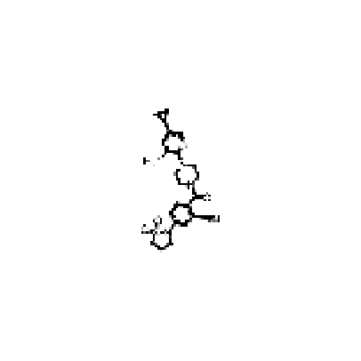 Cc1cc(C2CC2)cnc1N1CCN(C(=O)c2ccc(N3CCCS3(=O)=O)cc2C#N)CC1